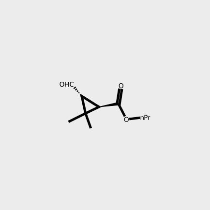 CCCOC(=O)[C@@H]1[C@@H](C=O)C1(C)C